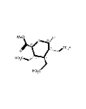 COC(=O)[C@H]1O[C@H](Br)[C@H](CC(=O)O)[C@@H](CC(=O)O)[C@@H]1CC(=O)O